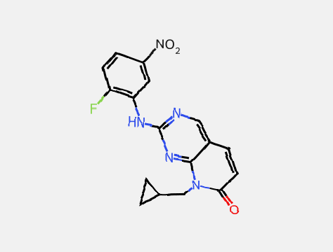 O=c1ccc2cnc(Nc3cc([N+](=O)[O-])ccc3F)nc2n1CC1CC1